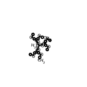 CC1C=CC(C(=O)c2ccc3c(c2)c2cc(C(=O)c4ccccc4)ccc2n3CC(=O)OCC(C)(COC(=O)Cn2c3ccc(C(=O)C4=CCC(C)C=C4)cc3c3cc(C(=O)c4ccccc4)ccc32)COC(=O)Cn2c3ccc(C(=O)c4ccccc4)cc3c3cc(C(=O)c4ccccc4)ccc32)=CC1